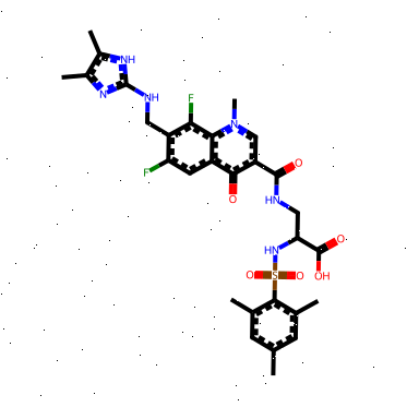 Cc1cc(C)c(S(=O)(=O)NC(CNC(=O)c2cn(C)c3c(F)c(CNc4nc(C)c(C)[nH]4)c(F)cc3c2=O)C(=O)O)c(C)c1